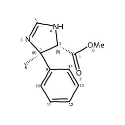 COC(=O)[C@H]1NC=N[C@]1(C)c1ccccc1